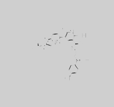 CC(=O)Nc1cn2nc(-c3cc(C(=O)NCC[C@H](O)c4ccc(Cl)cc4)c(C)nc3C)ccc2n1